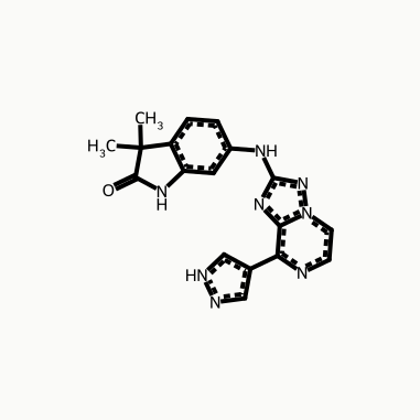 CC1(C)C(=O)Nc2cc(Nc3nc4c(-c5cn[nH]c5)nccn4n3)ccc21